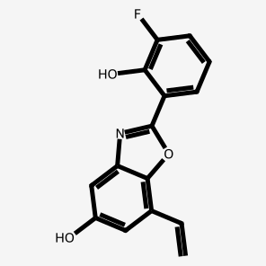 C=Cc1cc(O)cc2nc(-c3cccc(F)c3O)oc12